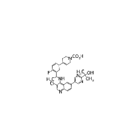 CC(Nc1c(Cl)cnc2ccc(-c3cnc(C(C)(C)O)nc3)cc12)c1cc(C2=CCN(C(=O)O)CC2)ccc1F